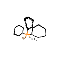 BP(Br)(c1ccccc1)(C1CCCCC1)C1CCCCC1